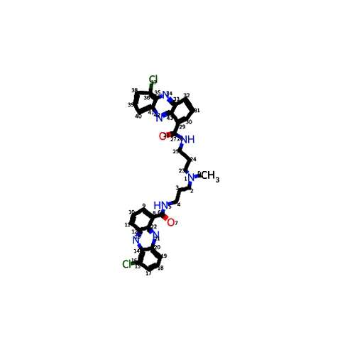 CN(CCCNC(=O)c1cccc2nc3c(Cl)cccc3nc12)CCCNC(=O)c1cccc2nc3c(Cl)cccc3nc12